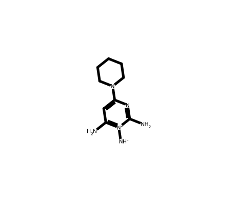 [NH-][n+]1c(N)cc(N2CCCCC2)nc1N